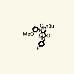 CCCCn1cc(C(=O)NCc2ccc(F)cc2)c(=O)n(-c2cccc(OC)c2)c1=O